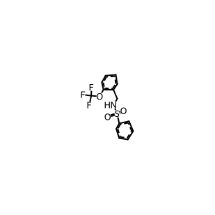 O=S(=O)(NCc1ccccc1OC(F)(F)F)c1ccccc1